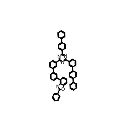 c1ccc(-c2ccc(-c3cccc(-c4nc(-c5ccc(-c6ccccc6)cc5)nc(-c5cccc(-c6cccc(-c7cccc8oc(-c9ccccc9)nc78)c6)c5)n4)c3)cc2)cc1